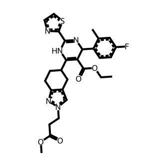 CCOC(=O)C1=C(C2CCc3nn(CCC(=O)OC)cc3C2)NC(c2nccs2)=NC1c1ccc(F)cc1C